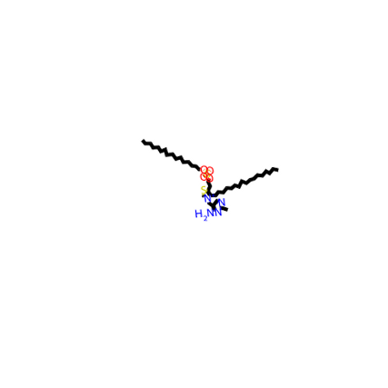 CCCCCCCCCCCCCCCCCc1c(CCOS(=O)(=O)OCCCCCCCCCCCCCCCC)sc[n+]1Cc1cnc(C)nc1N